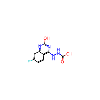 O=C(O)NNc1nc(O)nc2cc(F)ccc12